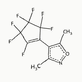 Cc1noc(C)c1C1=C(F)C(F)(F)C(F)(F)C1(F)F